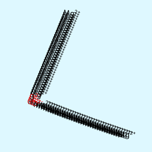 [Mg+2].[Mg+2].[Mg+2].[Mg+2].[Mg+2].[Mg+2].[Mg+2].[Mg+2].[Mg+2].[Mg+2].[Mg+2].[Mg+2].[Mg+2].[Mg+2].[Mg+2].[Mg+2].[Mg+2].[Mg+2].[Mg+2].[Mg+2].[Mg+2].[Mg+2].[Mg+2].[Mg+2].[Mg+2].[Mg+2].[Mg+2].[Mg+2].[Mg+2].[Mg+2].[Mg+2].[Mg+2].[Mg+2].[Mg+2].[Mg+2].[Mg+2].[Mg+2].[Mg+2].[Mg+2].[Mg+2].[Mg+2].[Mg+2].[Mg+2].[Mg+2].[Mg+2].[Mg+2].[Mg+2].[Mg+2].[Mg+2].[Mg+2].[Mg+2].[Mg+2].[Mg+2].[Mg+2].[Mg+2].[Mg+2].[Mg+2].[Mg+2].[Mg+2].[Mg+2].[Mg+2].[Mg+2].[Mg+2].[Mg+2].[Mg+2].[Mg+2].[Mg+2].[Mg+2].[Mg+2].[Mg+2].[Mg+2].[Mg+2].[Mg+2].[Mg+2].[O-2].[O-2].[O-2].[O-2].[O-2]